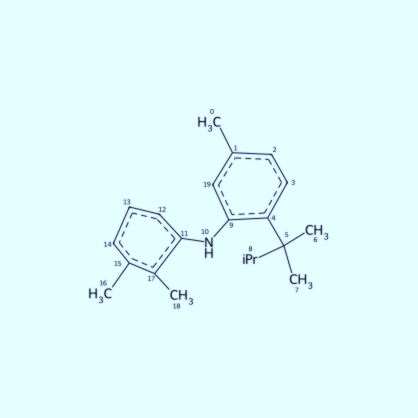 Cc1ccc(C(C)(C)C(C)C)c(Nc2cccc(C)c2C)c1